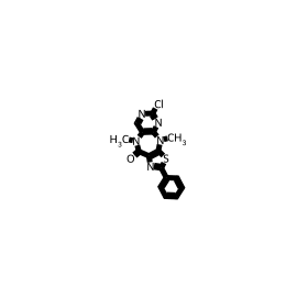 CN1C(=O)c2nc(-c3ccccc3)sc2N(C)c2nc(Cl)ncc21